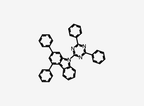 c1ccc(-c2cc(-c3ccccc3)c3c4ccccc4n(-c4nc(-c5ccccc5)nc(-c5ccccc5)n4)c3c2)cc1